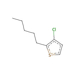 CCCCCc1sccc1Cl